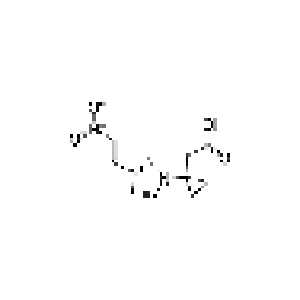 O=C(O)CC1(n2ccc(C=C[N+](=O)[O-])n2)CC1